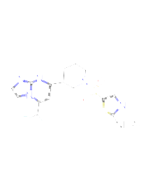 CC(=O)Nc1ncc(S(=O)(=O)N2CCCC(c3cc(C(F)F)n4ccnc4n3)C2)s1